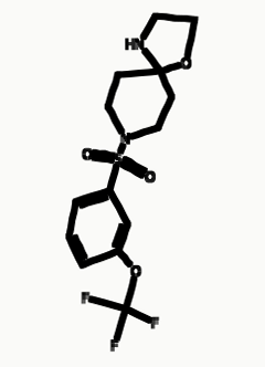 O=S(=O)(c1cccc(OC(F)(F)F)c1)N1CCC2(CC1)NCCO2